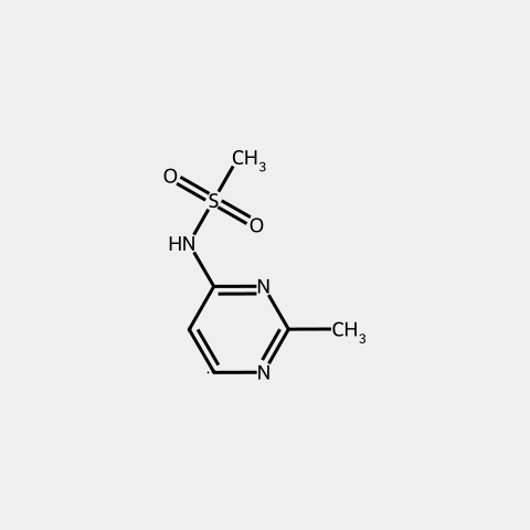 Cc1n[c]cc(NS(C)(=O)=O)n1